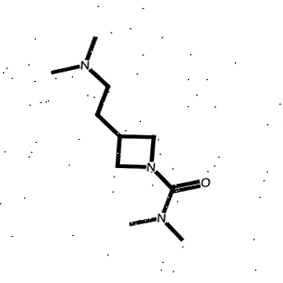 CN(C)CCC1CN(C(=O)N(C)C)C1